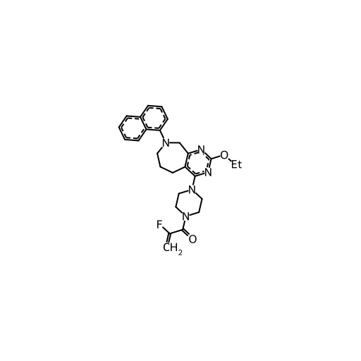 C=C(F)C(=O)N1CCN(c2nc(OCC)nc3c2CCCN(c2cccc4ccccc24)C3)CC1